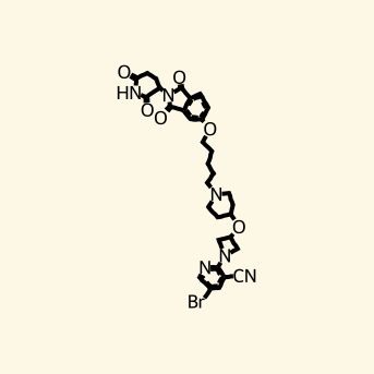 N#Cc1cc(Br)cnc1N1CC(OC2CCN(CCCCCOc3ccc4c(c3)C(=O)N(C3CCC(=O)NC3=O)C4=O)CC2)C1